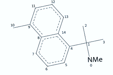 CNC(C)(C)c1cccc2c(C)cccc12